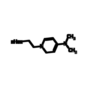 CCCCCCCCN1C=CC(N(C)C)=CC1